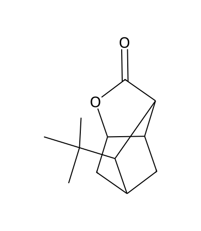 CC(C)(C)C1C2CC3OC(=O)C1C3C2